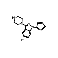 Cl.c1ccc(-n2nc(N3CCNCC3)c3ccccc32)cc1